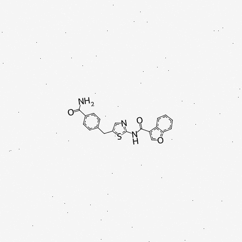 NC(=O)c1ccc(Cc2cnc(NC(=O)c3coc4ccccc34)s2)cc1